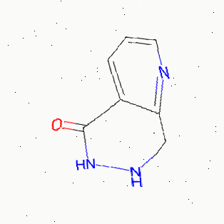 O=C1NNCc2ncccc21